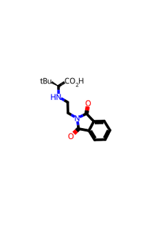 CC(C)(C)[C@H](NCCN1C(=O)c2ccccc2C1=O)C(=O)O